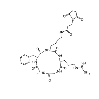 C[C@H]1NC(=O)CNC(=O)[C@H](CCCNC(=N)N)NC(=O)C(CCCCNC(=O)CCN2C(=O)C=CC2=O)NC(=O)C(Cc2ccccc2)NC1=O